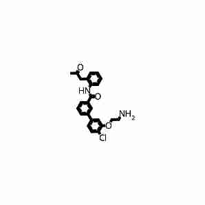 CC(=O)Cc1ccccc1NC(=O)c1cccc(-c2ccc(Cl)c(OCCN)c2)c1